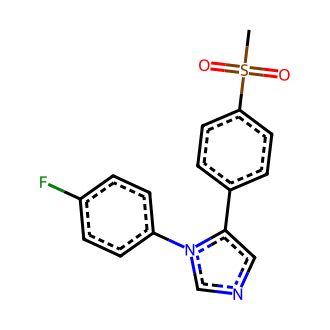 CS(=O)(=O)c1ccc(-c2cncn2-c2ccc(F)cc2)cc1